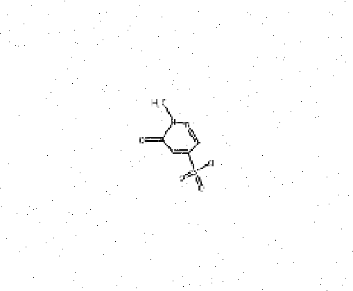 Cn1ncc(S(=O)(=O)Cl)cc1=O